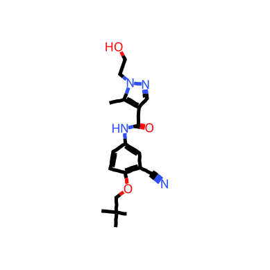 Cc1c(C(=O)Nc2ccc(OCC(C)(C)C)c(C#N)c2)cnn1CCO